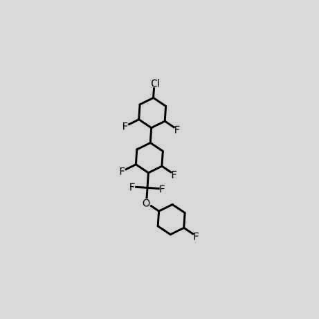 FC1CCC(OC(F)(F)C2C(F)CC(C3C(F)CC(Cl)CC3F)CC2F)CC1